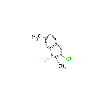 Cc1ccc2cc(Cl)c(C)c(F)c2c1